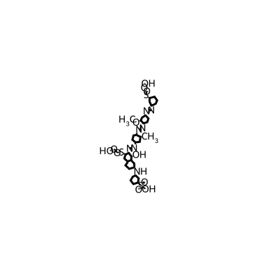 COc1cc(N=Nc2cccc(SOOO)c2)ccc1N=Nc1ccc(N=Nc2c(SOOO)cc3ccc(Nc4cccc(S(=O)(=O)O)c4)cc3c2O)cc1C